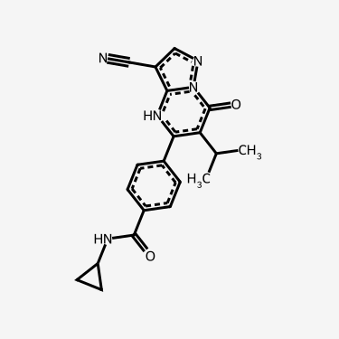 CC(C)c1c(-c2ccc(C(=O)NC3CC3)cc2)[nH]c2c(C#N)cnn2c1=O